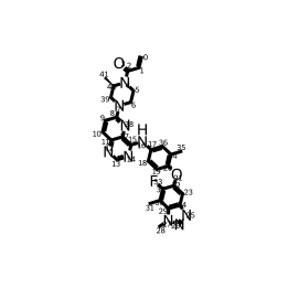 C=CC(=O)N1CCN(c2ccc3ncnc(Nc4ccc(Oc5cc6nnn(C)c6c(C)c5F)c(C)c4)c3n2)C[C@H]1C